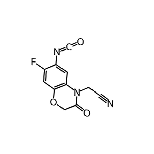 N#CCN1C(=O)COc2cc(F)c(N=C=O)cc21